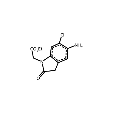 CCOC(=O)CN1C(=O)Cc2cc(N)c(Cl)cc21